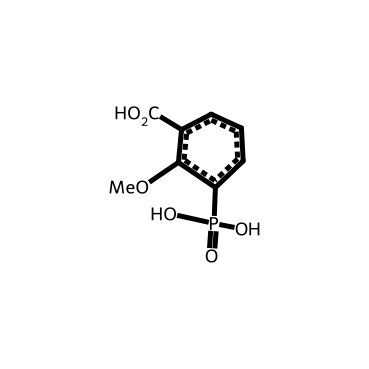 COc1c(C(=O)O)cccc1P(=O)(O)O